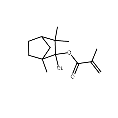 C=C(C)C(=O)OC1(CC)C2(C)CCC(C2)C1(C)C